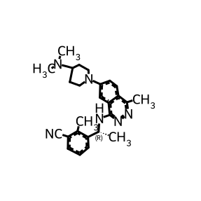 Cc1c(C#N)cccc1[C@@H](C)Nc1nnc(C)c2ccc(N3CCC(N(C)C)CC3)cc12